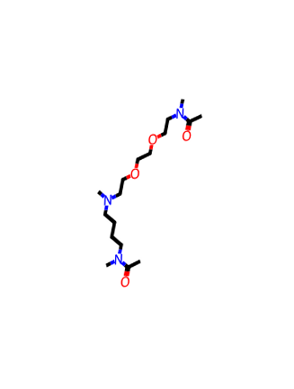 CC(=O)N(C)CCCCN(C)CCOCCOCCN(C)C(C)=O